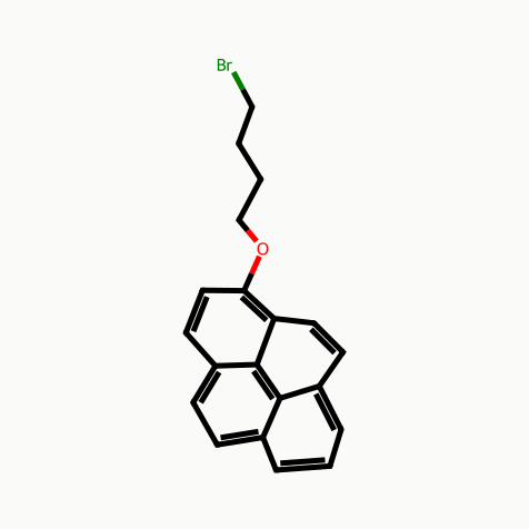 BrCCCCOc1ccc2ccc3cccc4ccc1c2c34